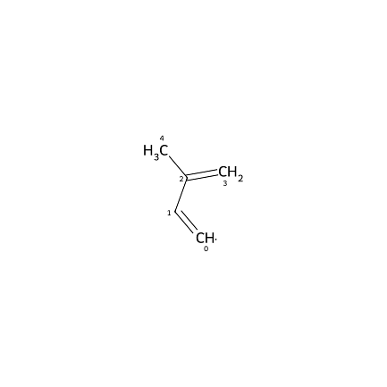 [CH]=CC(=C)C